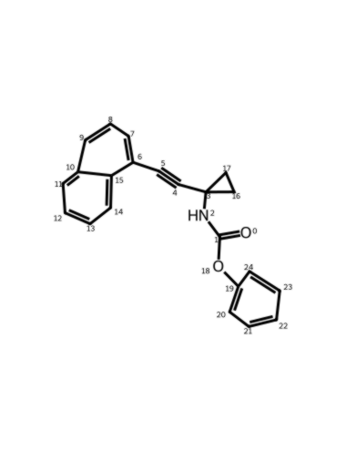 O=C(NC1(C#Cc2cccc3ccccc23)CC1)Oc1ccccc1